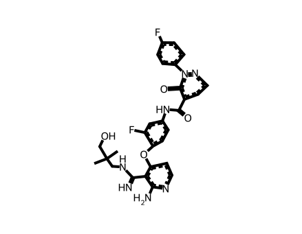 CC(C)(CO)CNC(=N)c1c(Oc2ccc(NC(=O)c3ccnn(-c4ccc(F)cc4)c3=O)cc2F)ccnc1N